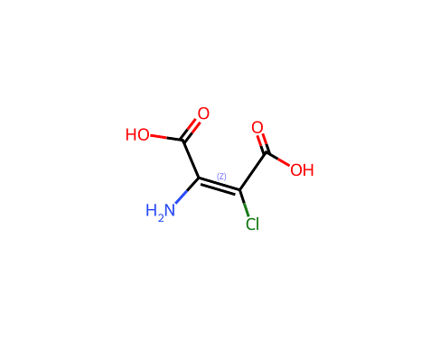 N/C(C(=O)O)=C(\Cl)C(=O)O